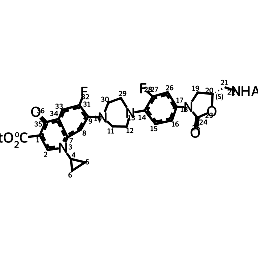 CCOC(=O)c1cn(C2CC2)c2cc(N3CCN(c4ccc(N5C[C@H](CNC(C)=O)OC5=O)cc4F)CC3)c(F)cc2c1=O